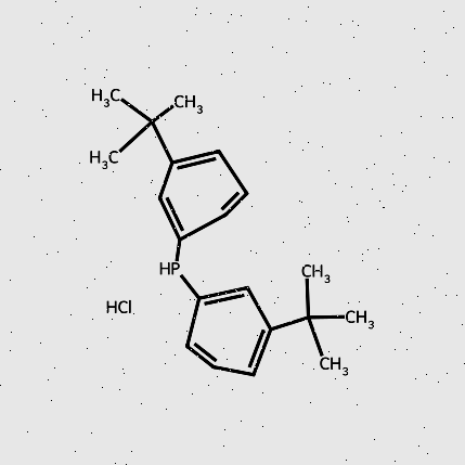 CC(C)(C)c1cccc(Pc2cccc(C(C)(C)C)c2)c1.Cl